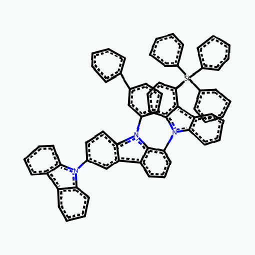 c1ccc(-c2cccc(-n3c4ccc(-n5c6ccccc6c6ccccc65)cc4c4cccc(-n5c6ccccc6c6c([Si](c7ccccc7)(c7ccccc7)c7ccccc7)cccc65)c43)c2)cc1